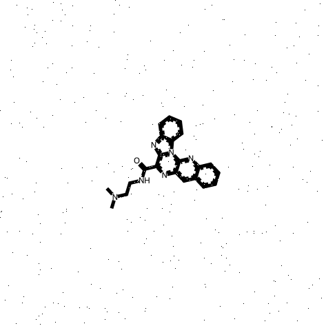 CN(C)CCNC(=O)c1nc2cc3ccccc3nc2n2c1nc1ccccc12